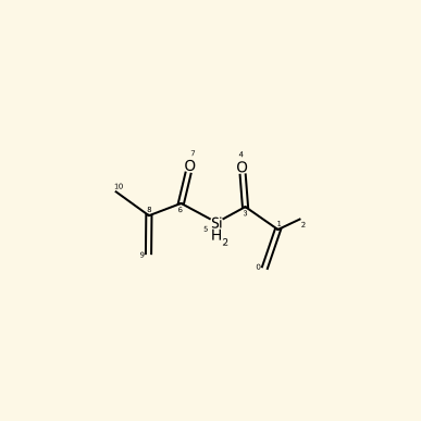 C=C(C)C(=O)[SiH2]C(=O)C(=C)C